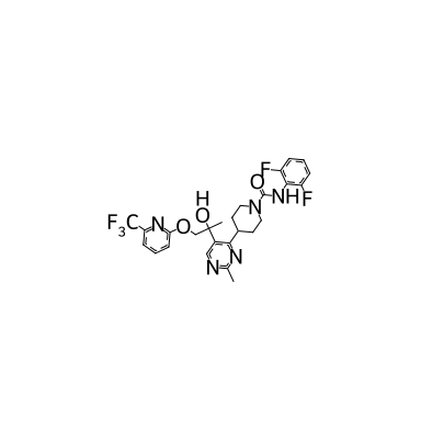 Cc1ncc(C(C)(O)COc2cccc(C(F)(F)F)n2)c(C2CCN(C(=O)Nc3c(F)cccc3F)CC2)n1